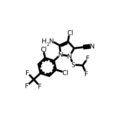 N#CC1C(Cl)=C(N)N(c2c(Cl)cc(C(F)(F)F)cc2Cl)N1SC(F)F